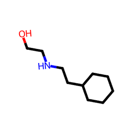 OCCNCCC1CCCCC1